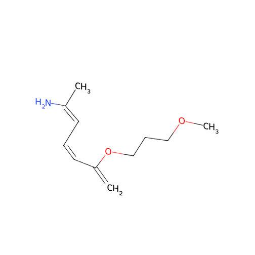 C=C(/C=C\C=C(\C)N)OCCCOC